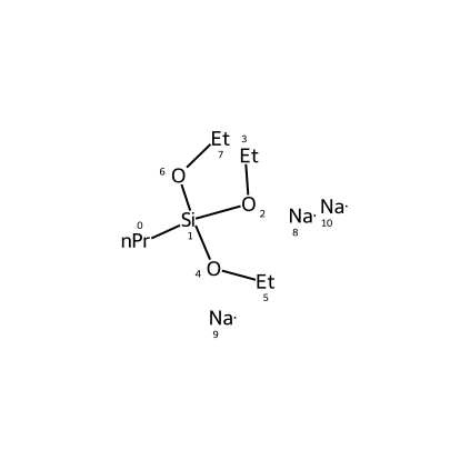 CCC[Si](OCC)(OCC)OCC.[Na].[Na].[Na]